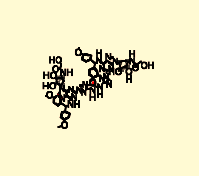 COc1ccc(C(Nc2nc(-n3cnc(NC(=O)Nc4ncn(-c5nc(NC(c6ccc(OC)cc6)c6ccc(OC)cc6)c6ncn([C@@H]7C[C@H](NC(=O)CO)[C@@H](O)[C@H]7O)c6n5)n4)n3)nc3c2ncn3[C@@H]2C[C@H](NC(=O)CO)[C@@H](O)[C@H]2O)c2ccc(OC)cc2)cc1